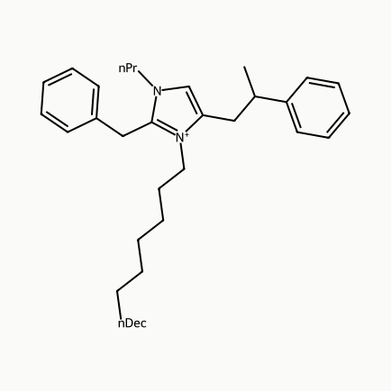 CCCCCCCCCCCCCCCC[n+]1c(CC(C)c2ccccc2)cn(CCC)c1Cc1ccccc1